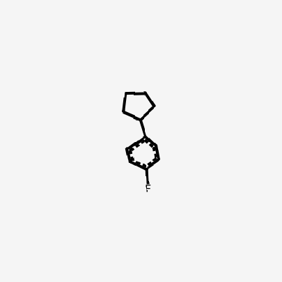 Fc1ccc([C]2CCCC2)cc1